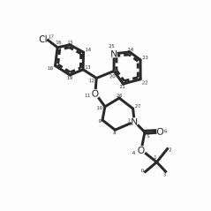 CC(C)(C)OC(=O)N1CCC(OC(c2ccc(Cl)cc2)c2ccccn2)CC1